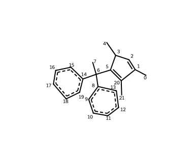 CC1=CC(C)C(C(C)(c2ccccc2)c2ccccc2)=C1C